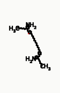 CCCCCCCc1cc(N)ccc1Cc1ccc(CCCCCCCCCCCCCCCc2ccc(Cc3ccc(N)cc3CCCCCCC)cc2)cc1